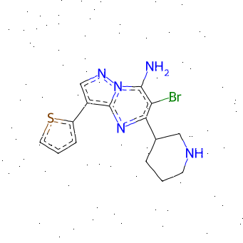 Nc1c(Br)c(C2CCCNC2)nc2c(-c3cccs3)cnn12